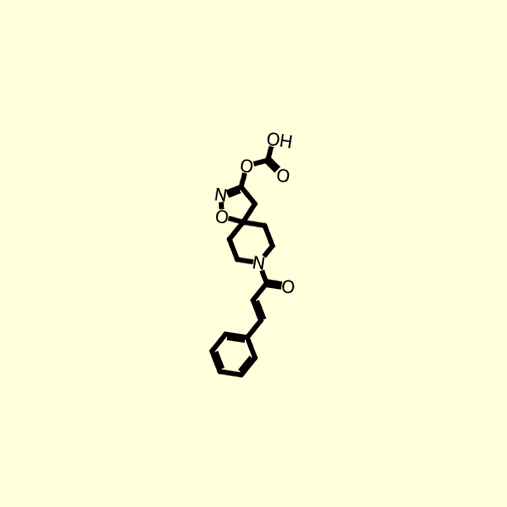 O=C(O)OC1=NOC2(CCN(C(=O)C=Cc3ccccc3)CC2)C1